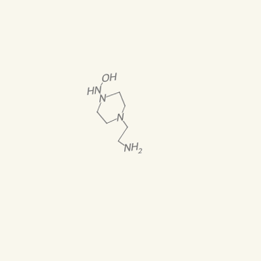 NCCN1CCN(NO)CC1